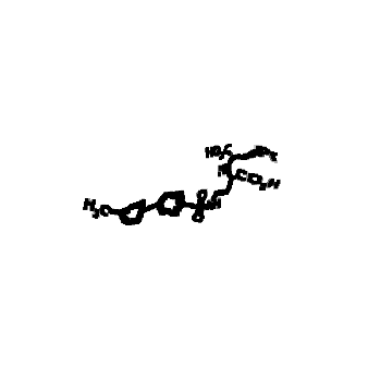 Cc1ccc(-c2ccc(S(=O)(=O)NCC[C@H](N[C@@H](CC(C)C)C(=O)O)C(=O)O)cc2)cc1